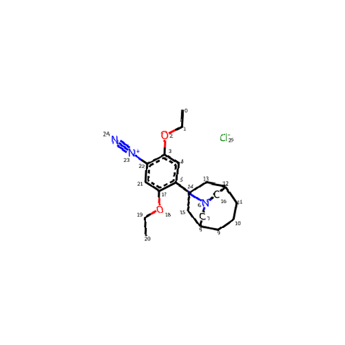 CCOc1cc(N2CC3CCCC(CCC3)C2)c(OCC)cc1[N+]#N.[Cl-]